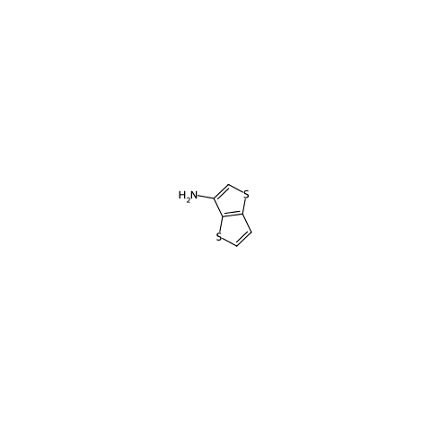 Nc1csc2ccsc12